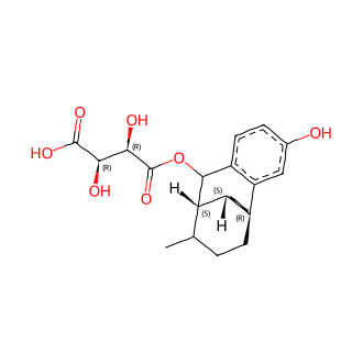 CC1CC[C@]23CCCC[C@H]2[C@H]1C(OC(=O)[C@H](O)[C@@H](O)C(=O)O)c1ccc(O)cc13